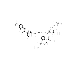 CCN(CC)c1ccc2cc(-c3cc(=O)[nH]c(NC(=O)NCCCCC(NC(=O)C(NC(=O)C(C)N(C(=O)OC(C)(C)C)c4ccccc4)C(C)C)C(=O)NC(C)C(=O)NC(CC(C)C)C(=O)OC)n3)c(=O)oc2c1